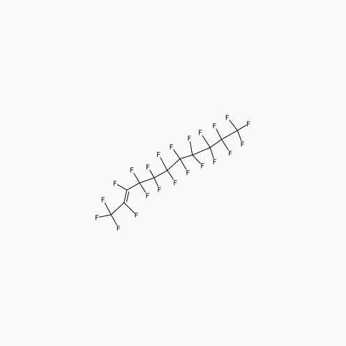 FC(=C(F)C(F)(F)C(F)(F)C(F)(F)C(F)(F)C(F)(F)C(F)(F)C(F)(F)C(F)(F)F)C(F)(F)F